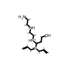 C=CCN(CC=C)C(CCO)NCCNCCN